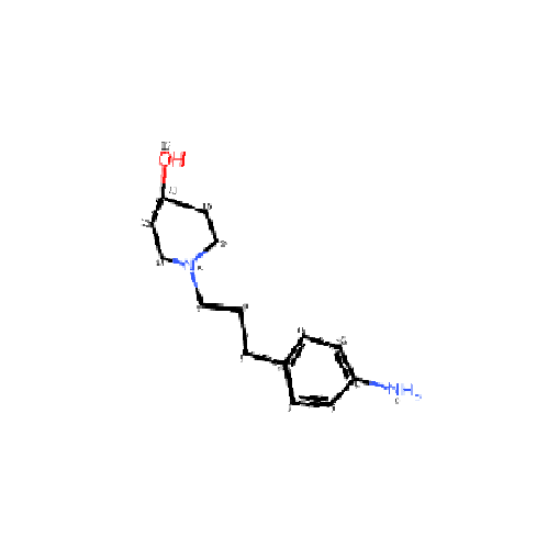 Nc1ccc(CCCN2CCC(O)CC2)cc1